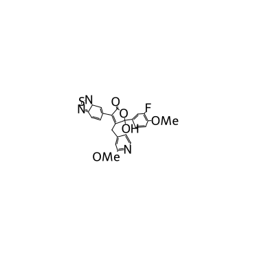 COc1cc(CC2=C(c3ccc4nsnc4c3)C(=O)OC2(O)c2ccc(OC)c(F)c2)ccn1